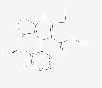 COC(=O)C1=C(CF)NC2=C(C(=O)CC2)[C@H]1c1cccc(F)c1[C@@H](C)F